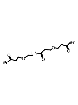 CC(C)C(=O)CCOCCNC(=O)CCOCCC(=O)C(C)C